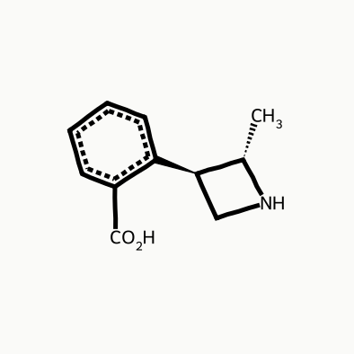 C[C@@H]1NC[C@H]1c1ccccc1C(=O)O